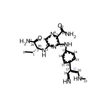 CC[C@@H](Nc1cnc(C(N)=O)c(Nc2ccc(/C(C=N)=C/NC)cc2)n1)C(N)=O